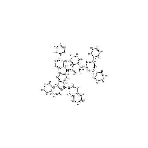 c1ccc(-c2ccc3c4cc5c6c7ccccc7ccc6n(-c6ccc7ccccc7c6)c5cc4n(-c4ccc(-c5nc(-c6ccccc6)nc(-c6ccccc6)n5)c5ccccc45)c3c2)cc1